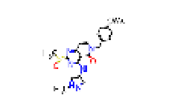 COc1ccc(Cn2ccc3nc([S+](C)[O-])nc(Nc4cnn(C)c4)c3c2=O)cc1